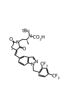 C[C@@H](CN1C(=O)SC(=Cc2ccc3c(cnn3Cc3ccc(C(F)(F)F)cc3C(F)(F)F)c2)C1=O)N(C(=O)O)C(C)(C)C